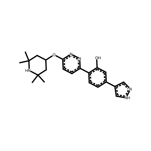 CC1(C)CC(Oc2ccc(-c3ccc(-c4cn[nH]c4)cc3O)nn2)CC(C)(C)N1